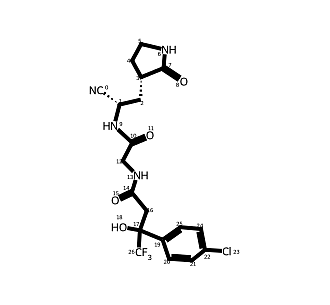 N#C[C@H](C[C@@H]1CCNC1=O)NC(=O)CNC(=O)CC(O)(c1ccc(Cl)cc1)C(F)(F)F